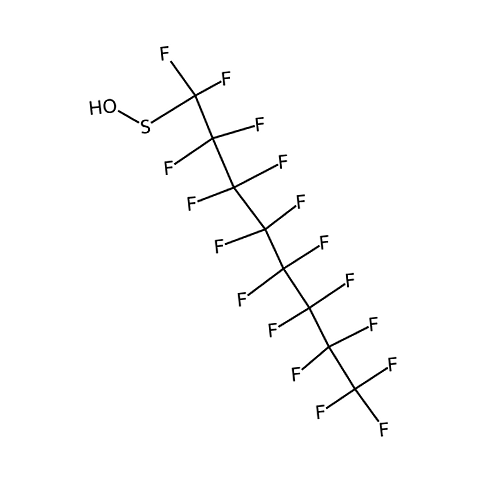 OSC(F)(F)C(F)(F)C(F)(F)C(F)(F)C(F)(F)C(F)(F)C(F)(F)C(F)(F)F